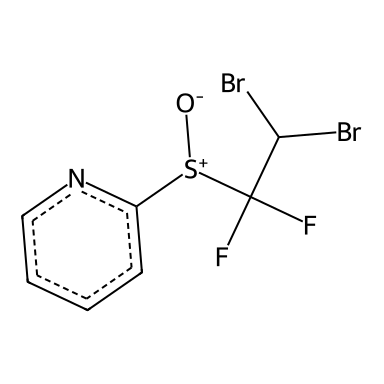 [O-][S+](c1ccccn1)C(F)(F)C(Br)Br